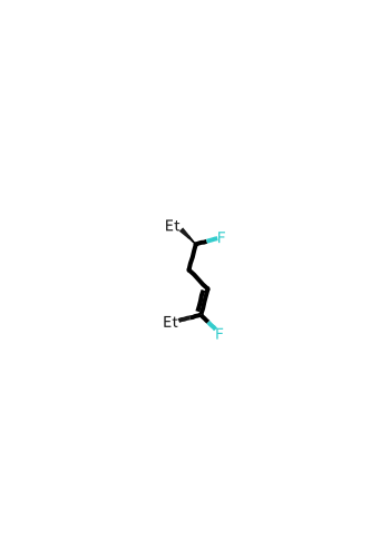 CC/C(F)=C\C[C@H](F)CC